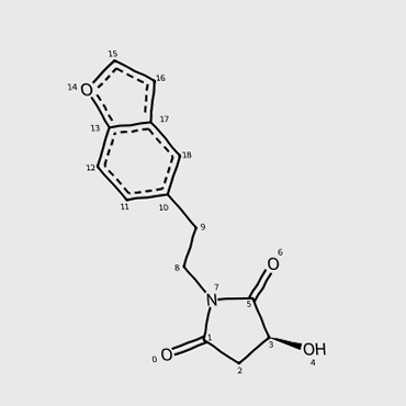 O=C1C[C@H](O)C(=O)N1CCc1ccc2occc2c1